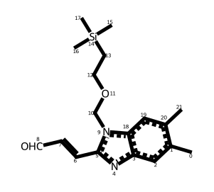 Cc1cc2nc(C=CC=O)n(COCC[Si](C)(C)C)c2cc1C